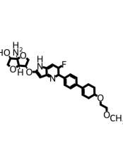 COCCOC1CC=C(c2ccc(C3N=c4cc(O[C@@H]5CO[C@]6(N)[C@H](O)CO[C@H]56)[nH]c4=CC3F)cc2)CC1